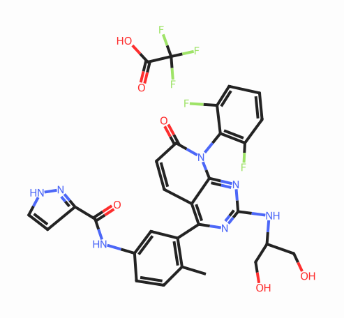 Cc1ccc(NC(=O)c2cc[nH]n2)cc1-c1nc(NC(CO)CO)nc2c1ccc(=O)n2-c1c(F)cccc1F.O=C(O)C(F)(F)F